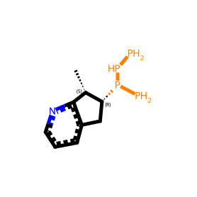 C[C@H]1c2ncccc2C[C@H]1P(P)PP